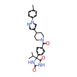 Cc1ccc(-n2cc(C3CCN(C(=O)c4ccc(C5(C(C)C)NC(=O)NC5=O)cc4)CC3)cn2)cc1